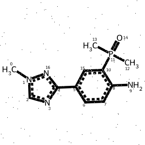 Cn1cnc(-c2ccc(N)c(P(C)(C)=O)c2)n1